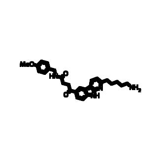 COc1ccc(CNC(=O)CCC(=O)c2ccc3[nH]c4nc(CCCCCN)ccc4c3c2)cc1